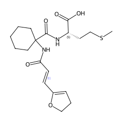 CSCC[C@H](NC(=O)C1(NC(=O)/C=C/C2=CCCO2)CCCCC1)C(=O)O